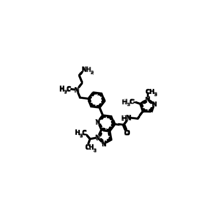 Cc1c(CNC(=O)c2cc(-c3cccc(CN(C)CCN)c3)nc3c2cnn3C(C)C)cnn1C